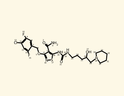 NC(=O)c1c(OCc2cc(F)c(Cl)cc2F)nsc1NC(=O)NCCCC(O)CN1CCCCC1